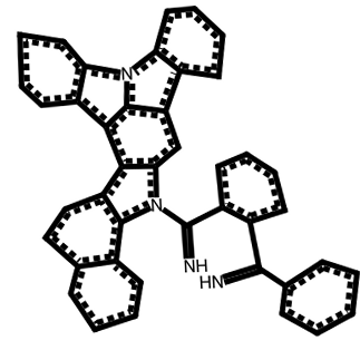 N=C(c1ccccc1)c1ccccc1C(=N)n1c2cc3c4ccccc4n4c5ccccc5c(c2c2ccc5ccccc5c21)c34